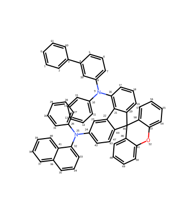 c1ccc(-c2cccc(N(c3ccccc3)c3cccc4c3-c3cc(N(c5ccccc5)c5cccc6ccccc56)ccc3C43c4ccccc4Oc4ccccc43)c2)cc1